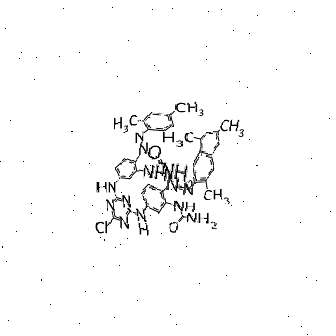 Cc1ccc(/N=N/c2ccc(Nc3nc(Cl)nc(Nc4ccc(N=Nc5cc6c(C)cc(C)cc6cc5C)c(NC(N)=O)c4)n3)cc2NC(N)=O)c(C)c1